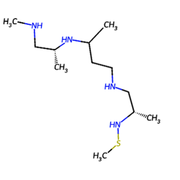 CNC[C@@H](C)NC(C)CCNC[C@H](C)NSC